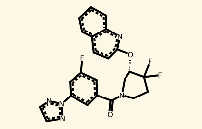 O=C(c1cc(F)cc(-n2nccn2)c1)N1CCC(F)(F)[C@@H](Oc2ccc3ccccc3n2)C1